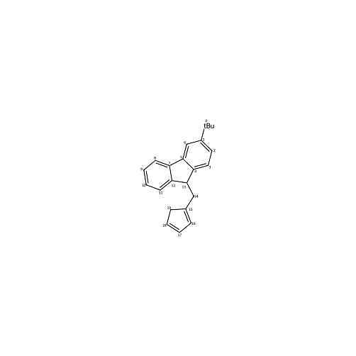 CC(C)(C)c1ccc2c(c1)-c1ccccc1C2CC1=CC=CC1